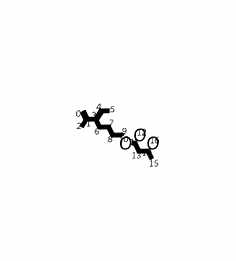 C=C(C)C(=CC)CCCCOC(=O)CC(C)=O